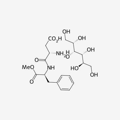 COC(=O)[C@H](Cc1ccccc1)NC(=O)[C@@H](N)CC(=O)O.OC[C@@H](O)[C@@H](O)[C@H](O)[C@@H](O)CO